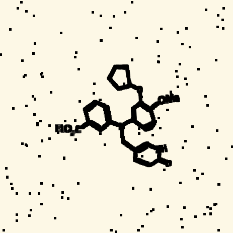 CCOC(=O)c1cccc(N(Cc2ccc(=O)[nH]c2)c2ccc(OC)c(OC3CCCC3)c2)c1